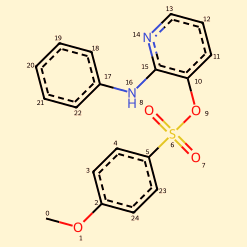 COc1ccc(S(=O)(=O)Oc2cccnc2Nc2ccccc2)cc1